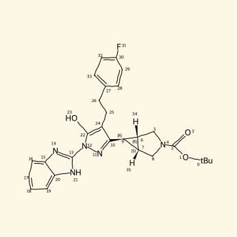 CC(C)(C)OC(=O)N1C[C@@H]2[C@H](C1)[C@H]2c1nn(-c2nc3ccccc3[nH]2)c(O)c1CCc1ccc(F)cc1